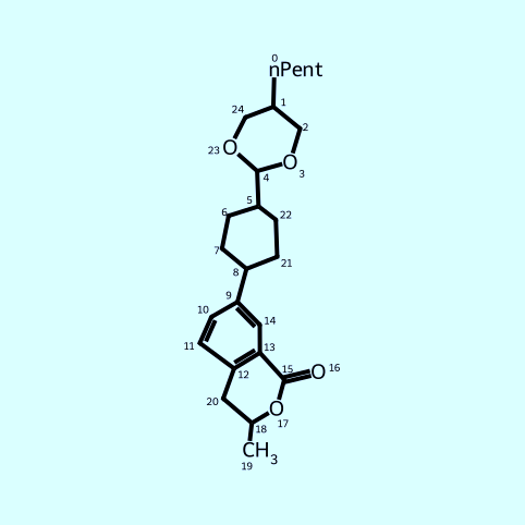 CCCCCC1COC(C2CCC(c3ccc4c(c3)C(=O)OC(C)C4)CC2)OC1